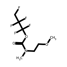 COCCN(C)C(=O)OC(F)(F)C(F)(F)CF